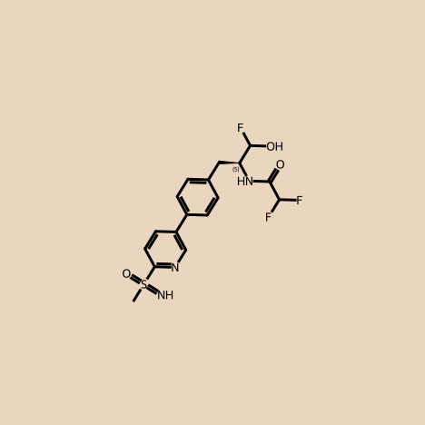 CS(=N)(=O)c1ccc(-c2ccc(C[C@H](NC(=O)C(F)F)C(O)F)cc2)cn1